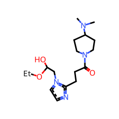 CCOC(O)Cn1ccnc1CCC(=O)N1CCC(N(C)C)CC1